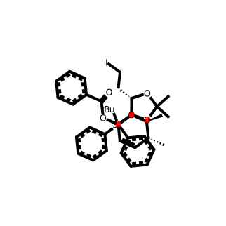 C[C@H](/C=C\C(OC(=O)c1ccccc1)C1OC(C)(C)O[C@H]1CCI)[C@H](C)O[Si](c1ccccc1)(c1ccccc1)C(C)(C)C